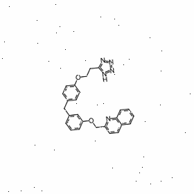 c1cc(Cc2ccc(OCCc3nnn[nH]3)cc2)cc(OCc2ccc3ccccc3n2)c1